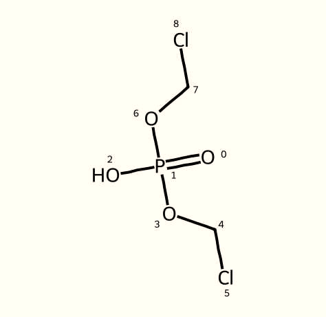 O=P(O)(OCCl)OCCl